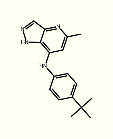 Cc1cc(Nc2ccc(C(C)(C)C)cc2)c2[nH]ncc2n1